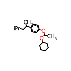 CC(C)CC(C)c1ccc(OC(C)OC2CCCCC2)cc1